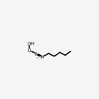 CCCCC/N=B/OO